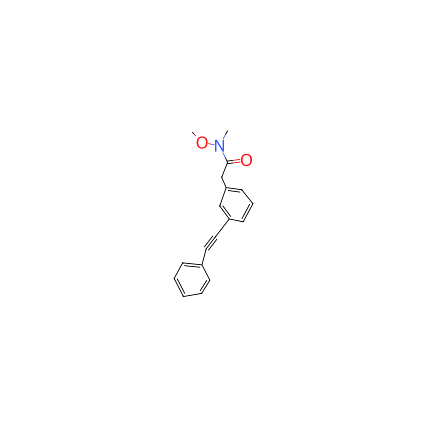 CON(C)C(=O)Cc1cccc(C#Cc2ccccc2)c1